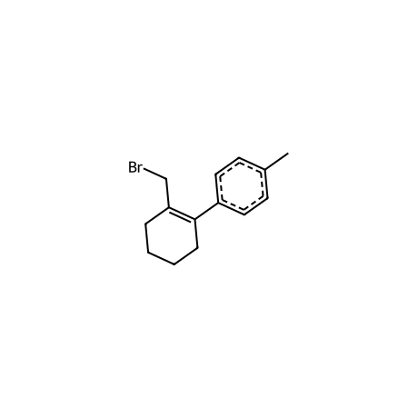 Cc1ccc(C2=C(CBr)CCCC2)cc1